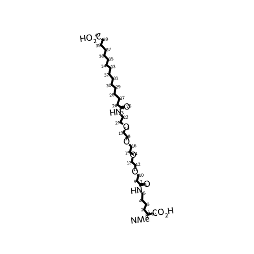 CN[C@@H](CCCCNC(=O)CCOCCOCCOCCOCCNC(=O)CCCCCCCCCCCCCCC(=O)O)C(=O)O